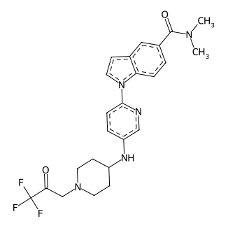 CN(C)C(=O)c1ccc2c(ccn2-c2ccc(NC3CCN(CC(=O)C(F)(F)F)CC3)cn2)c1